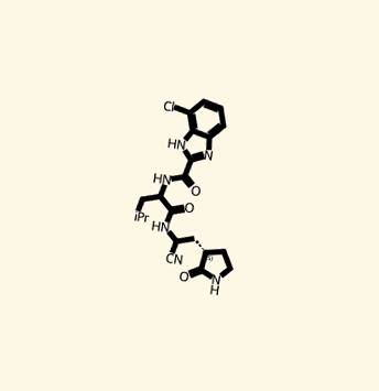 CC(C)CC(NC(=O)c1nc2cccc(Cl)c2[nH]1)C(=O)NC(C#N)C[C@@H]1CCNC1=O